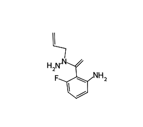 C=CCN(N)C(=C)c1c(N)cccc1F